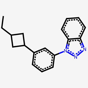 CCC1CC(c2cccc(-n3nnc4ccccc43)c2)C1